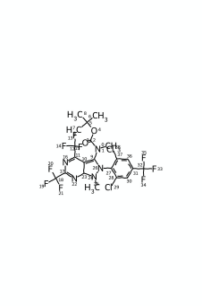 CN(C(=O)OC(C)(C)C)C1=C2C(C(F)(F)F)=NC(C(F)(F)F)=NC2N(C)N1c1c(Cl)cc(C(F)(F)F)cc1Cl